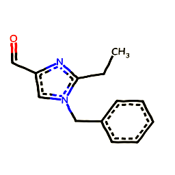 CCc1nc(C=O)cn1Cc1ccccc1